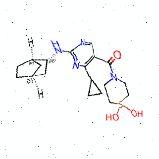 O=C(c1cnc(N[C@@H]2C[C@H]3CC[C@@H]2C3)nc1C1CC1)N1CCS(O)(O)CC1